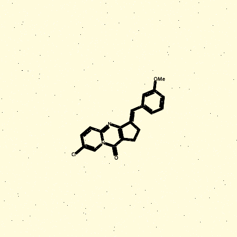 COc1cccc(C=C2CCc3c2nc2ccc(Cl)cn2c3=O)c1